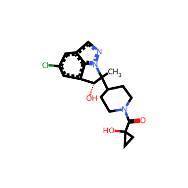 CC1(C2CCN(C(=O)C3(O)CC3)CC2)[C@H](O)c2cc(Cl)cc3cnn1c23